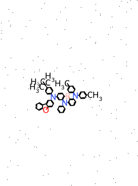 Cc1ccc(N2c3ccc(C)cc3B3c4ccc(N(c5ccc(C(C)(C)C)cc5)c5ccc6oc7ccccc7c6c5)cc4N(c4ccccc4)c4cccc2c43)cc1